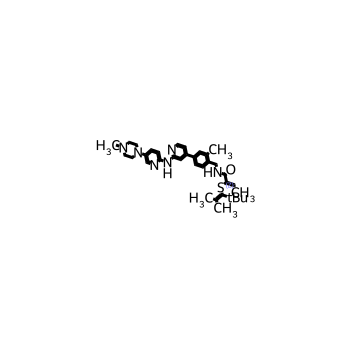 C/C=C(\SC(=C(C)C)C(C)(C)C)C(=O)NCc1ccc(-c2ccnc(Nc3ccc(N4CCN(C)CC4)cn3)c2)cc1C